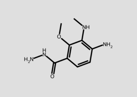 CNc1c(N)ccc(C(=O)NN)c1OC